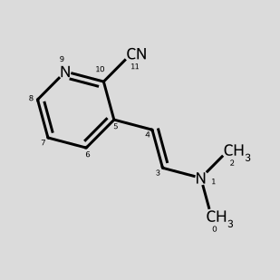 CN(C)C=Cc1cccnc1C#N